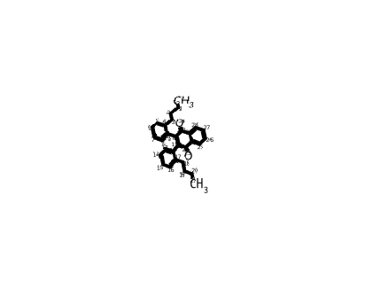 CCCCc1ccccc1C1=C(c2ccccc2CCCC)C(=O)c2ccccc2C1=O